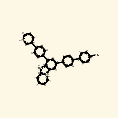 N#Cc1ccc(-c2ccc(-c3cc(-c4ccc(-c5cccnc5)cc4)c4[nH]c5cccc[n+]5c4c3)cc2)cc1